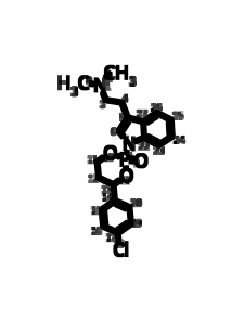 CN(C)CCc1cn(P2(=O)OCCC(c3ccc(Cl)cc3)O2)c2ccccc12